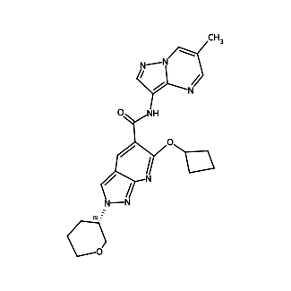 Cc1cnc2c(NC(=O)c3cc4cn([C@H]5CCCOC5)nc4nc3OC3CCC3)cnn2c1